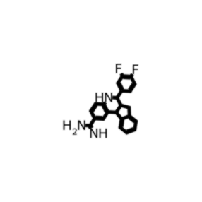 N=C(N)c1ccc2c(c1)C1c3ccccc3CC1C(c1ccc(F)c(F)c1)N2